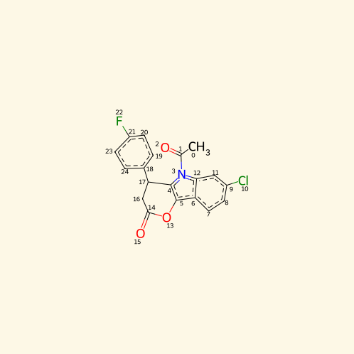 CC(=O)n1c2c(c3ccc(Cl)cc31)OC(=O)CC2c1ccc(F)cc1